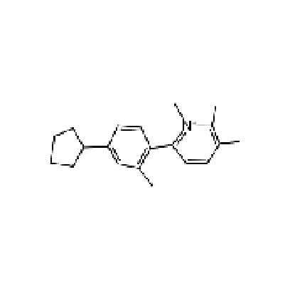 Cc1cc(C2CCCC2)ccc1-c1ccc(C)c(C)[n+]1C